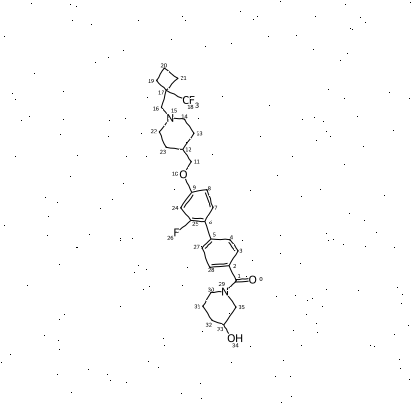 O=C(c1ccc(-c2ccc(OCC3CCN(CC4(C(F)(F)F)CCC4)CC3)cc2F)cc1)N1CCCC(O)C1